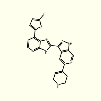 Fc1ccc(-c2ccnc3[nH]c(-c4n[nH]c5cnc(C6=CCNCC6)cc45)nc23)s1